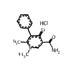 Cc1c(-c2ccccc2)c(=O)c(C(N)=O)cn1C.Cl